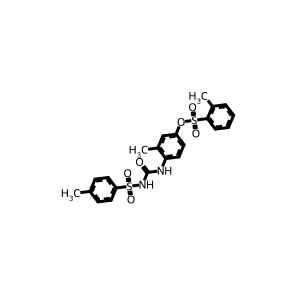 Cc1ccc(S(=O)(=O)NC(=O)Nc2ccc(OS(=O)(=O)c3ccccc3C)cc2C)cc1